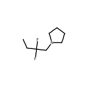 CCC(F)(F)CN1CCCC1